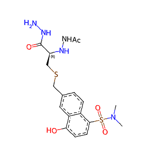 CC(=O)NN[C@@H](CSCc1ccc2c(S(=O)(=O)N(C)C)ccc(O)c2c1)C(=O)NN